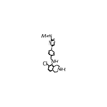 CNc1nc(-c2ccc(CNc3c(Cl)ccc4c3CCNCC4)cc2)cs1